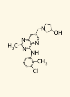 Cc1nc(Nc2cccc(Cl)c2C)c2ncc(CN3CCC(O)C3)cc2n1